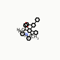 CC1(C)c2ccccc2-c2c(-c3ccc(-c4ccccc4)cc3-c3ccccc3)c3c(c(N(c4ccccc4)c4ccccc4)c21)C(C)(C)c1ccccc1-3